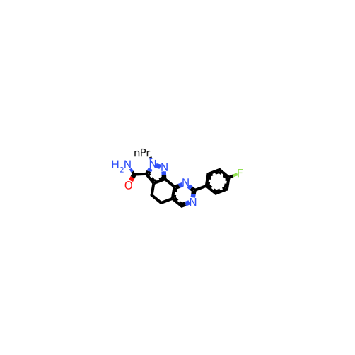 [CH2]CCn1nc2c(c1C(N)=O)CCc1cnc(-c3ccc(F)cc3)nc1-2